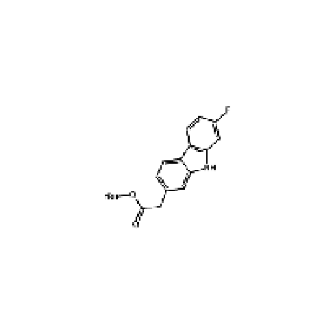 CC(C)(C)OC(=O)Cc1ccc2c(c1)[nH]c1cc(F)ccc12